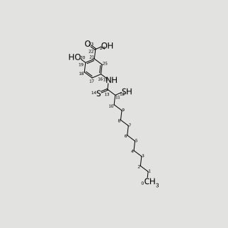 CCCCCCCCCCCC(S)C(=S)Nc1ccc(O)c(C(=O)O)c1